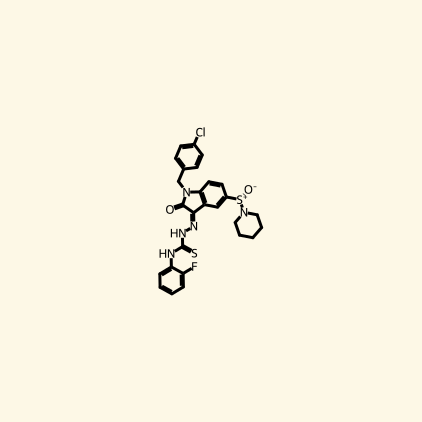 O=C1/C(=N\NC(=S)Nc2ccccc2F)c2cc([S+]([O-])N3CCCCC3)ccc2N1Cc1ccc(Cl)cc1